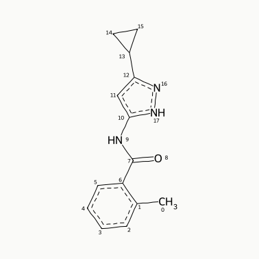 Cc1ccccc1C(=O)Nc1cc(C2CC2)n[nH]1